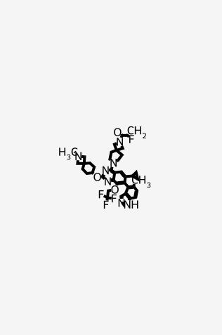 C=C(F)C(=O)N1CC2(CCN(c3nc(OC4CCC5(CC4)CN(C)C5)nc4c(OCC(F)(F)F)c(-c5c(C)ccc6[nH]ncc56)c(C5CC5)cc34)CC2)C1